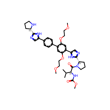 COCCOc1cc(-c2cnc([C@@H]3CCCN3C(=O)[C@@H](NC(=O)OC)C(C)C)[nH]2)c(OCCOC)cc1-c1ccc(-c2cnc([C@@H]3CCCN3)[nH]2)cc1